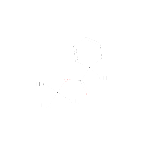 [CH2]C1(C(=O)OC(C)(C)C)C=CC=CC1